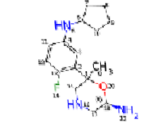 CC1(c2cc(NC3CCCC3)ccc2F)CNC[C@H](N)O1